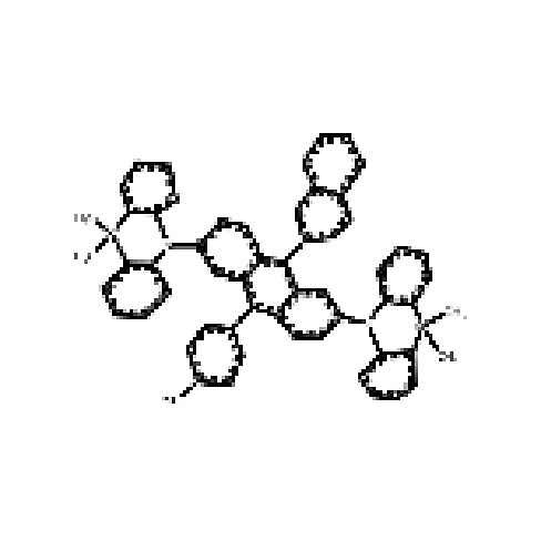 CC(C)(C)c1ccc(-c2c3ccc(N4c5ccccc5[Si](C)(C)c5ccccc54)cc3c(-c3ccc4ccccc4c3)c3ccc(N4c5ccccc5[Si](C)(C)c5ccccc54)cc23)cc1